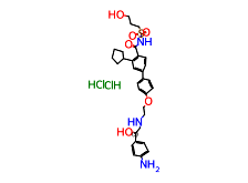 Cl.Cl.Nc1ccc([C@H](O)CNCCOc2ccc(-c3ccc(C(=O)NS(=O)(=O)CCCO)c(C4CCCC4)c3)cc2)cc1